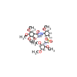 COc1cc(OC)c(/C=C/S(=O)(=O)Cc2ccc(OC)c(N/C=C\C(=O)c3cc(OC)c(OC)c(OC)c3Br)c2)c(OC)c1